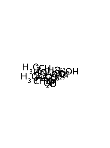 C=C(C)[C@@H](CC=C(C)C)Cc1c(O)cc2c(c1O)C(=O)C[C@@H](c1ccc(O)cc1O)O2